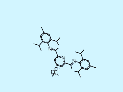 CC(=Nc1c(C(C)C)cc(C)cc1C(C)C)c1cccc(C(C)=Nc2c(C(C)C)cc(C)cc2C(C)C)n1.[Cl-].[Cl-].[V+2]